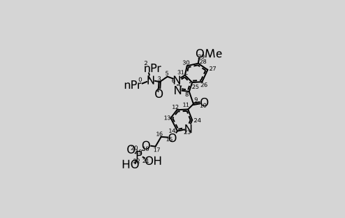 CCCN(CCC)C(=O)Cn1nc(C(=O)c2ccc(OCCOP(=O)(O)O)nc2)c2ccc(OC)cc21